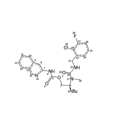 [CH2]CCC[C@@H](COC(=O)Nc1cc2ccccc2cn1)N(C)C(=O)NCc1cccc(F)c1Cl